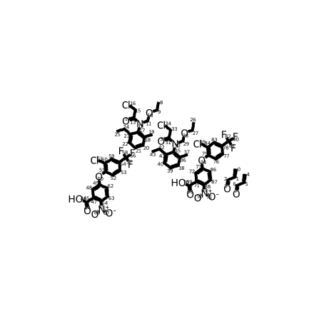 C=CC=O.C=CC=O.CCOCN(C(=O)CCl)c1c(C)cccc1CC.CCOCN(C(=O)CCl)c1c(C)cccc1CC.O=C(O)c1cc(Oc2ccc(C(F)(F)F)cc2Cl)ccc1[N+](=O)[O-].O=C(O)c1cc(Oc2ccc(C(F)(F)F)cc2Cl)ccc1[N+](=O)[O-]